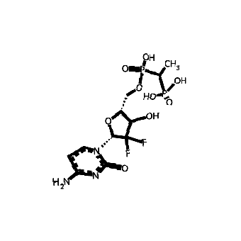 CC(P(=O)(O)O)P(=O)(O)OC[C@H]1O[C@@H](n2ccc(N)nc2=O)C(F)(F)C1O